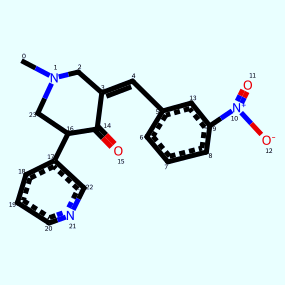 CN1CC(=Cc2cccc([N+](=O)[O-])c2)C(=O)C(c2cccnc2)C1